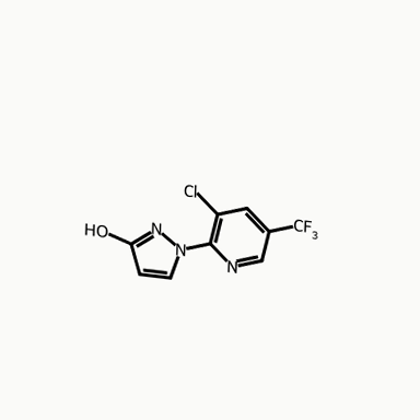 Oc1ccn(-c2ncc(C(F)(F)F)cc2Cl)n1